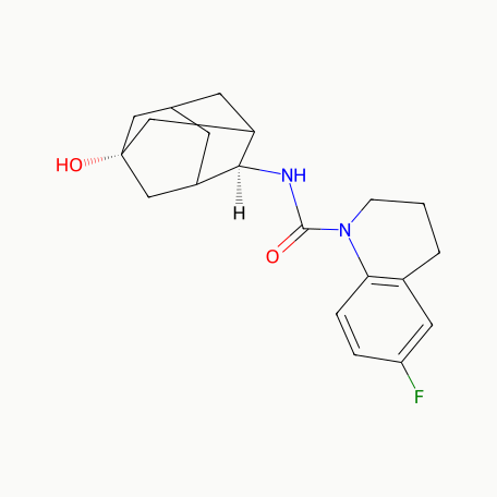 O=C(N[C@H]1C2CC3CC1C[C@](O)(C3)C2)N1CCCc2cc(F)ccc21